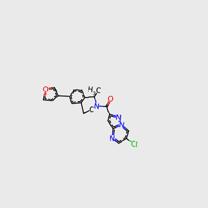 CC1c2ccc(-c3ccoc3)cc2CCN1C(=O)c1cc2ncc(Cl)cn2n1